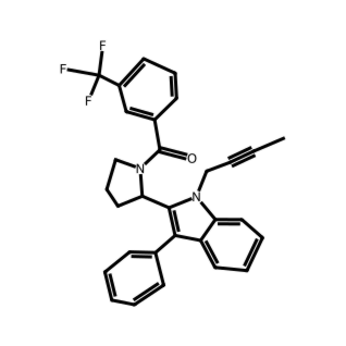 CC#CCn1c(C2CCCN2C(=O)c2cccc(C(F)(F)F)c2)c(-c2ccccc2)c2ccccc21